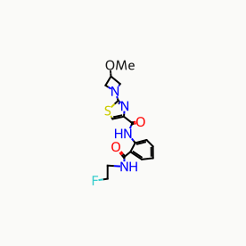 COC1CN(c2nc(C(=O)Nc3ccccc3C(=O)NCCF)cs2)C1